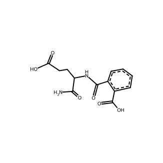 NC(=O)C(CCC(=O)O)NC(=O)c1ccccc1C(=O)O